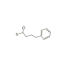 [S]C(Cl)CCCc1ccccc1